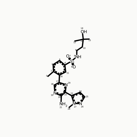 Cc1ccc(S(=O)(=O)NCCC(C)(C)O)cc1-c1cnc(N)c(-c2ccnn2C)n1